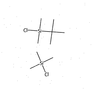 CC(C)(C)[Si](C)(C)Cl.C[Si](C)(C)Cl